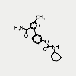 Cc1cc(C(N)=O)c(-c2cccc(OC(=O)NC3CCCCC3)c2)o1